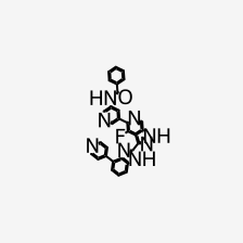 O=C(Nc1cncc(-c2ncc3[nH]nc(-c4nc5c(-c6ccncc6)cccc5[nH]4)c3c2F)c1)c1ccccc1